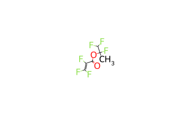 CC(F)(OC(=O)C(F)=C(F)F)C(F)F